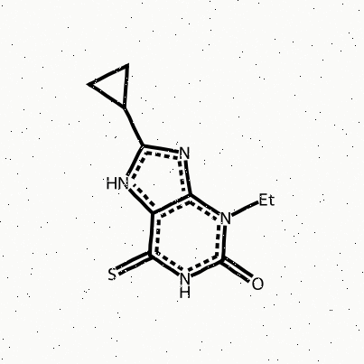 CCn1c(=O)[nH]c(=S)c2[nH]c(C3CC3)nc21